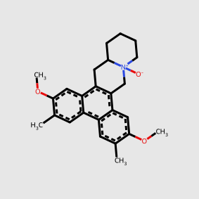 COc1cc2c3c(c4cc(OC)c(C)cc4c2cc1C)C[N+]1([O-])CCCCC1C3